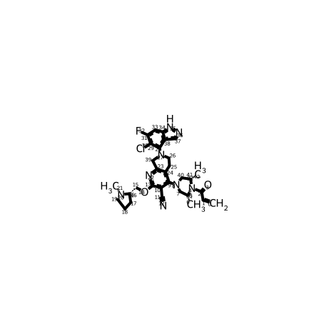 C=CC(=O)N1[C@H](C)CN(c2c(C#N)c(OC[C@@H]3CCCN3C)nc3c2CCN(c2c(Cl)c(F)cc4[nH]ncc24)C3)C[C@@H]1C